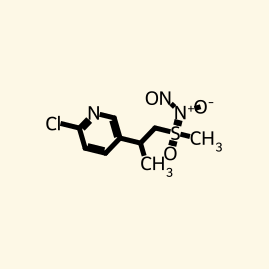 CC(CS(C)(=O)=[N+]([O-])N=O)c1ccc(Cl)nc1